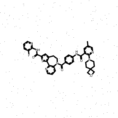 Cc1cnc(N2CCC3(CC2)COC3)c(C(=O)Nc2ccc(C(=O)N3CCc4cc(C(=O)Nc5ncccc5F)sc4-c4ncccc43)cc2)c1